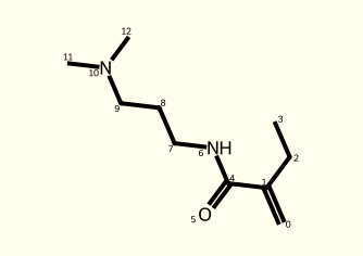 C=C(CC)C(=O)NCCCN(C)C